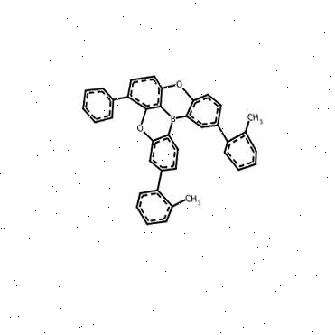 Cc1ccccc1-c1ccc2c(c1)Oc1c(-c3ccccc3)ccc3c1B2c1cc(-c2ccccc2C)ccc1O3